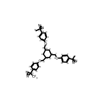 CC1(c2ccc(OCC3CC(COc4ccc(C5(C)N=N5)cc4)CC(COc4ccc(C5(C(F)(F)F)N=N5)cc4)C3)cc2)N=N1